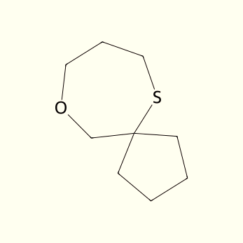 C1COCC2(CCCC2)SC1